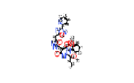 CCCCc1nc(=O)c(-c2nnc(Cc3nc(-c4ccccn4)no3)o2)c(O)n1-c1c(OC)cccc1OC